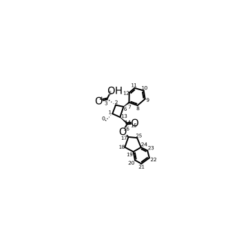 C[C@@H]1[C@H](C(=O)O)[C@@H](c2ccccc2)[C@H]1C(=O)OC1Cc2ccccc2C1